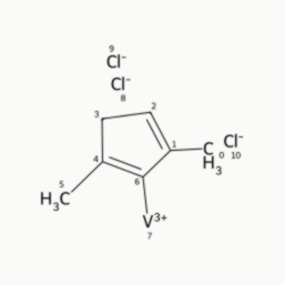 CC1=CCC(C)=[C]1[V+3].[Cl-].[Cl-].[Cl-]